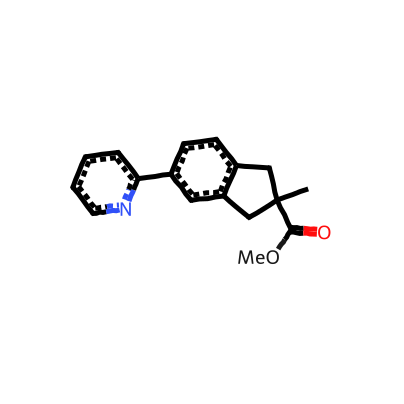 COC(=O)C1(C)Cc2ccc(-c3ccccn3)cc2C1